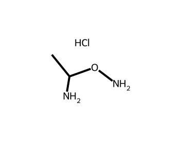 CC(N)ON.Cl